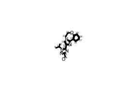 CC(C)n1nc(C=O)nc1-c1cn2c(n1)-c1ccccc1OCC2